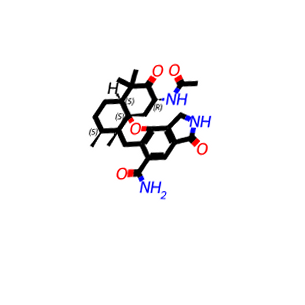 CC(=O)N[C@@H]1C[C@@]23Oc4c(c(C(N)=O)cc5c4CNC5=O)C[C@]2(C)[C@@H](C)CC[C@H]3C(C)(C)C1=O